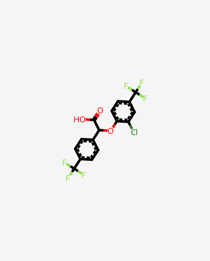 O=C(O)C(Oc1ccc(C(F)(F)F)cc1Cl)c1ccc(C(F)(F)F)cc1